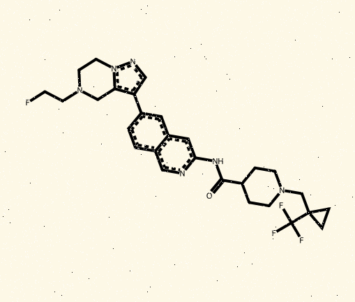 O=C(Nc1cc2cc(-c3cnn4c3CN(CCF)CC4)ccc2cn1)C1CCN(CC2(C(F)(F)F)CC2)CC1